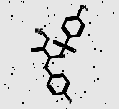 COC(=O)C(Cc1ccc(F)cc1)NS(=O)(=O)c1ccc(C)cc1